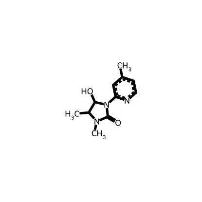 Cc1ccnc(N2C(=O)N(C)C(C)C2O)c1